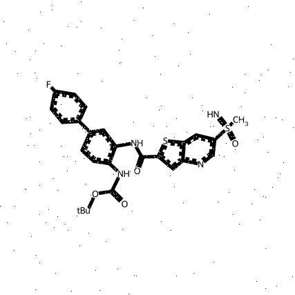 CC(C)(C)OC(=O)Nc1ccc(-c2ccc(F)cc2)cc1NC(=O)c1cc2ncc(S(C)(=N)=O)cc2s1